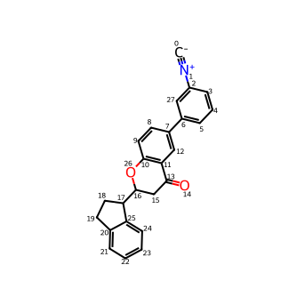 [C-]#[N+]c1cccc(-c2ccc3c(c2)C(=O)CC(C2CCc4ccccc42)O3)c1